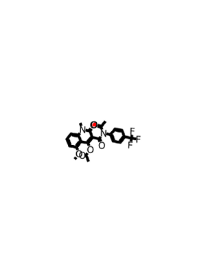 COc1cccc2c1c(OC(C)=O)c(C(=O)N(C(C)=O)c1ccc(C(F)(F)F)cc1)c(=O)n2C